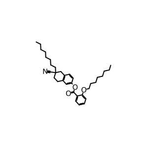 CCCCCCCCOc1ccccc1C(=O)Oc1ccc2c(c1)CCC(C#N)(CCCCCCCC)C2